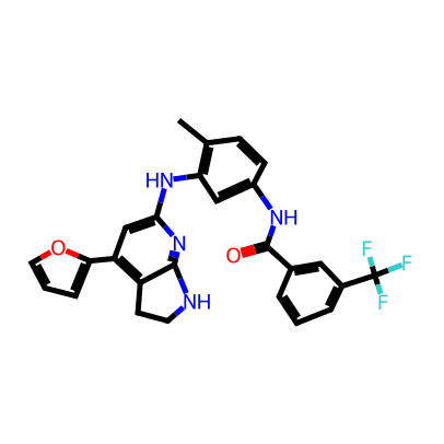 Cc1ccc(NC(=O)c2cccc(C(F)(F)F)c2)cc1Nc1cc(-c2ccco2)c2c(n1)NCC2